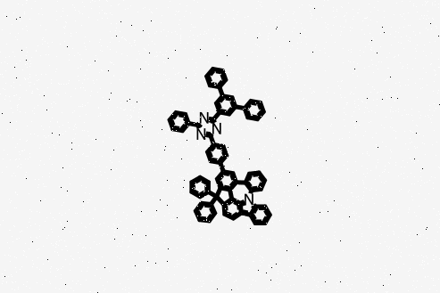 c1ccc(-c2cc(-c3ccccc3)cc(-c3nc(-c4ccccc4)nc(-c4ccc(-c5cc6c7c(c5)C(c5ccccc5)(c5ccccc5)c5ccc8c9ccccc9n(c8c5-7)-c5ccccc5-6)cc4)n3)c2)cc1